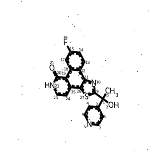 CC(O)(c1ccncc1)c1nc2c3ccc(F)cc3c3c(=O)[nH]ccc3c2s1